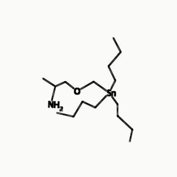 CCC[CH2][Sn]([CH2]CCC)([CH2]CCC)[CH2]OCC(C)N